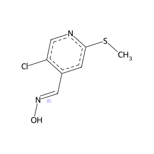 CSc1cc(/C=N/O)c(Cl)cn1